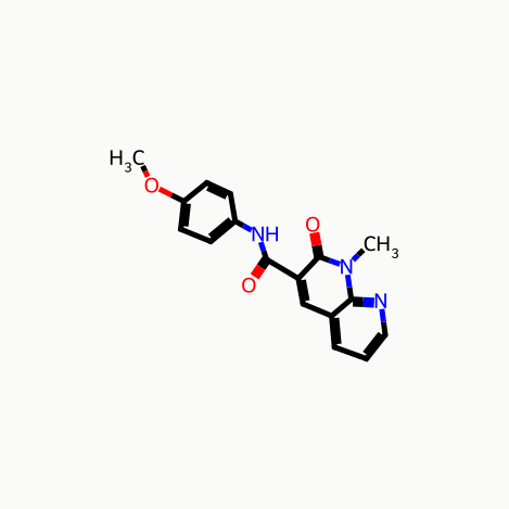 COc1ccc(NC(=O)c2cc3cccnc3n(C)c2=O)cc1